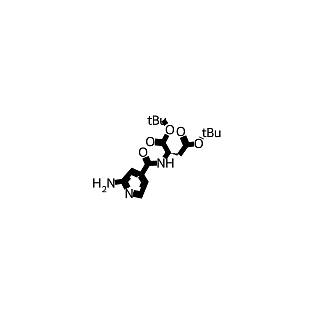 CC(C)(C)OC(=O)C[C@H](NC(=O)c1ccnc(N)c1)C(=O)OC(C)(C)C